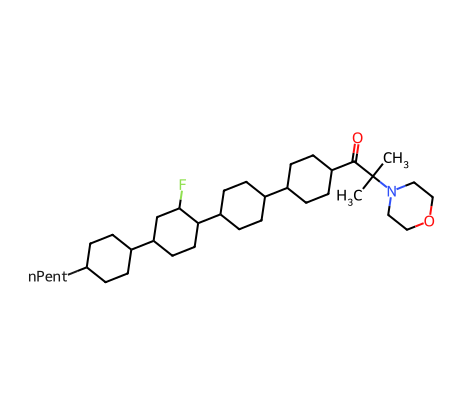 CCCCCC1CCC(C2CCC(C3CCC(C4CCC(C(=O)C(C)(C)N5CCOCC5)CC4)CC3)C(F)C2)CC1